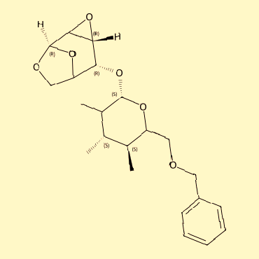 CC1[C@H](O[C@@H]2C3CO[C@H](O3)C3O[C@@H]32)OC(COCc2ccccc2)[C@@H](C)[C@@H]1C